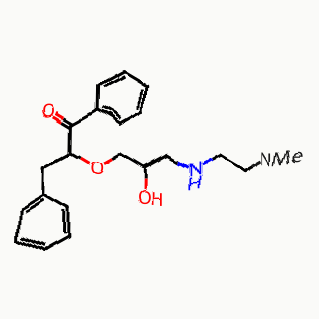 CNCCNCC(O)COC(Cc1ccccc1)C(=O)c1ccccc1